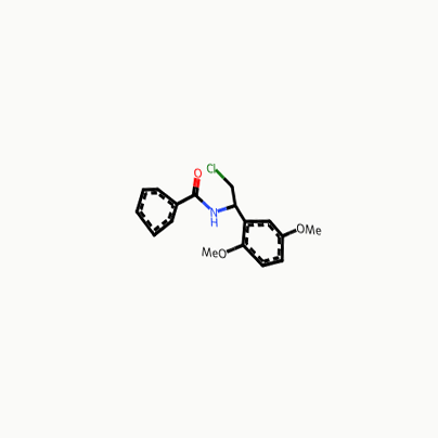 COc1ccc(OC)c(C(CCl)NC(=O)c2ccccc2)c1